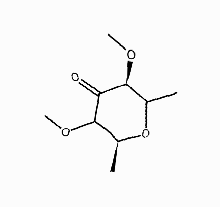 COC1C(=O)[C@@H](OC)C(C)O[C@H]1C